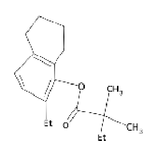 CCc1ccc2c(c1OC(=O)C(C)(C)CC)CCCC2